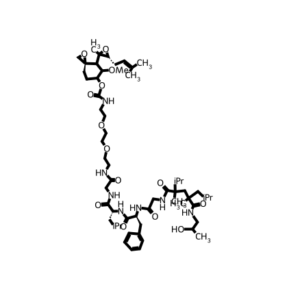 COC1C(OC(=O)NCCOCCOCCNC(=O)CNC(=O)[C@@H](CC(C)C)NC(=O)[C@H](Cc2ccccc2)NC(=O)CNC(=O)C(C)(CC(C)(CC(C)C)C(=O)NCC(C)O)C(C)C)CC[C@]2(CO2)C1C1(C)O[C@@H]1CC=C(C)C